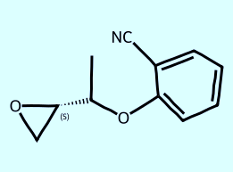 CC(Oc1ccccc1C#N)[C@@H]1CO1